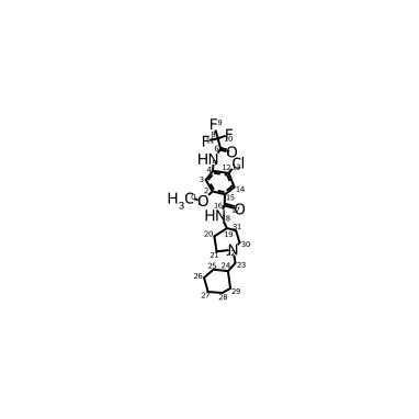 COc1cc(NC(=O)C(F)(F)F)c(Cl)cc1C(=O)NC1CCN(CC2CCCCC2)CC1